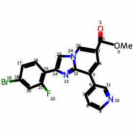 COC(=O)c1cc(-c2cccnc2)c2nc(-c3ccc(Br)cc3F)cn2c1